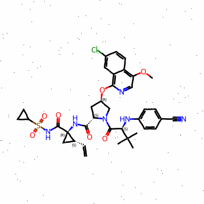 C=C[C@@H]1C[C@]1(NC(=O)[C@@H]1C[C@@H](Oc2ncc(OC)c3ccc(Cl)cc23)CN1C(=O)[C@@H](Nc1ccc(C#N)cc1)C(C)(C)C)C(=O)NS(=O)(=O)C1CC1